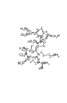 C[C@@H](OC(=O)[C@@H](N)CCCCN)[C@H](N)C(=O)O.C[C@H](N)C(=O)O.N=C(N)NCCC[C@H](N)C(=O)O.N[C@@H](Cc1ccc(O)cc1)C(=O)O.O=C(O)[C@@H]1CCCN1